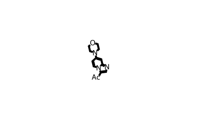 CC(=O)c1cnc2cc(N3CCOCC3)ccn12